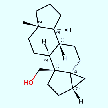 C[C@@]12CCC[C@H]1[C@@H]1CC[C@]34C[C@@H]3CC[C@]4(CO)[C@H]1CC2